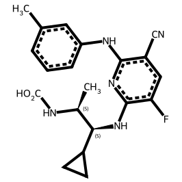 Cc1cccc(Nc2nc(N[C@@H](C3CC3)[C@H](C)NC(=O)O)c(F)cc2C#N)c1